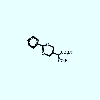 CCOC(=O)C(C(=O)OCC)C1COC(c2ccccc2)OC1